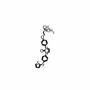 CN(C)CCOc1ccc(-n2ccn(-c3ccc(Sc4cccs4)cc3)c2=O)cc1